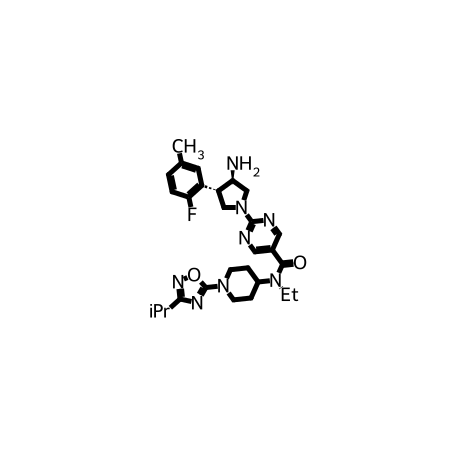 CCN(C(=O)c1cnc(N2C[C@H](c3cc(C)ccc3F)[C@@H](N)C2)nc1)C1CCN(c2nc(C(C)C)no2)CC1